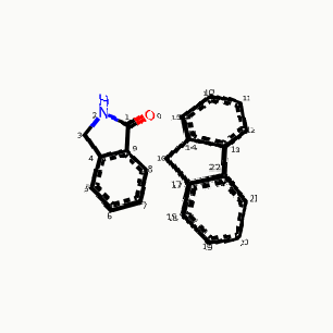 O=C1NCc2ccccc21.c1ccc2c(c1)Cc1ccccc1-2